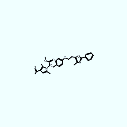 COC(=O)[C@H](Cc1ccc(OCCc2oc(-c3ccccc3)nc2C)cc1)n1c(C)cc(C(C)=O)c1C